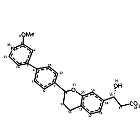 COc1cc(-c2ccc(C3CCc4ccc([C@H](O)CC(=O)O)cc4O3)cc2)ccn1